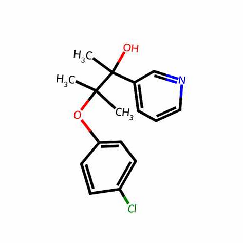 CC(C)(Oc1ccc(Cl)cc1)C(C)(O)c1cccnc1